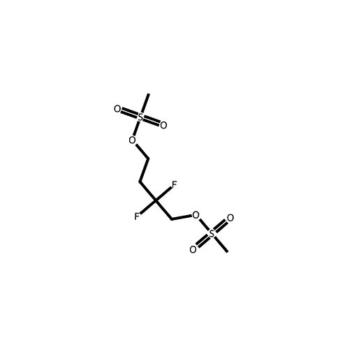 CS(=O)(=O)OCCC(F)(F)COS(C)(=O)=O